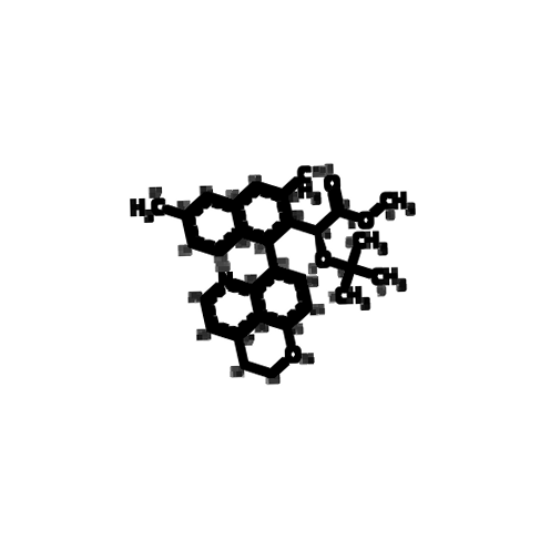 COC(=O)[C@@H](OC(C)(C)C)c1c(C)cc2cc(C)ccc2c1-c1ccc2c3c(ccnc13)CCO2